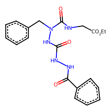 CCOC(=O)CNC(=O)N(Cc1ccccc1)NC(=O)NNC(=O)c1ccccc1